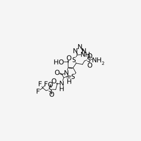 NS(=O)(=O)CCC(Sc1nnn[nH]1)C1=C(C(=O)O)N2C(=O)C(NC(=O)CS(=O)(=O)CC(F)(F)F)[C@@H]2SC1